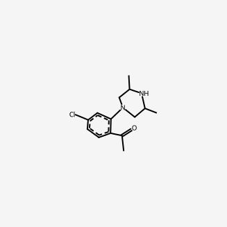 CC(=O)c1ccc(Cl)cc1N1CC(C)NC(C)C1